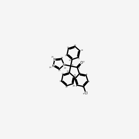 O=C(c1ccc(Cl)cc1)C(c1ccccc1)(c1ccccc1)n1cnnc1